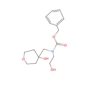 O=C(OCc1ccccc1)N(CCO)CC1(O)CCOCC1